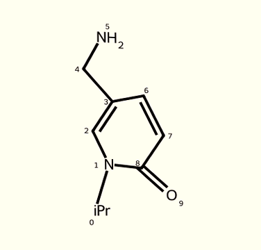 CC(C)n1cc(CN)ccc1=O